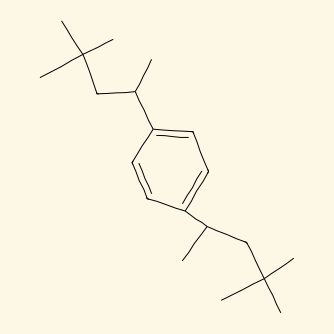 CC(CC(C)(C)C)c1ccc(C(C)CC(C)(C)C)cc1